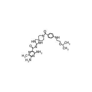 Cc1nc(C(=O)/N=C2\NCC3(CCN(C(=O)c4ccc(NCCOC(C)C)cc4)CC3)N2)c(N)nc1N